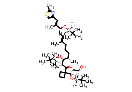 C/C(=C\C[C@H](O[Si](C)(C)C(C)(C)C)/C(C)=C/c1csc(C)n1)CCC[C@H](C)[C@H](O[Si](C)(C)C(C)(C)C)[C@@H](C)C(=O)C1([C@H](CCO)O[Si](C)(C)C(C)(C)C)CCC1